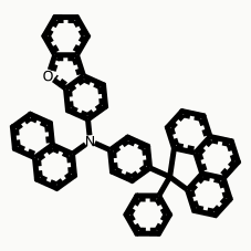 c1ccc(C2(c3ccc(N(c4ccc5c(c4)oc4ccccc45)c4cccc5ccccc45)cc3)c3cccc4ccc5cccc2c5c34)cc1